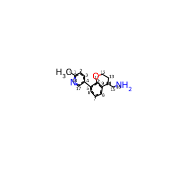 Cc1ccc(-c2cccc3c2OCC[C@H]3CN)cn1